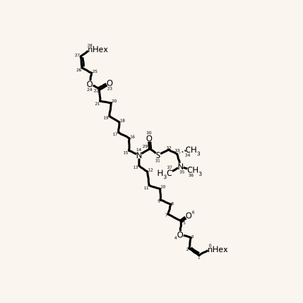 CCCCCC/C=C\COC(=O)CCCCCCCN(CCCCCCCC(=O)OC/C=C\CCCCCC)C(=O)SC[C@H](C)N(C)C